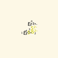 [Er+3].[Er+3].[S-2].[S-2].[S-2]